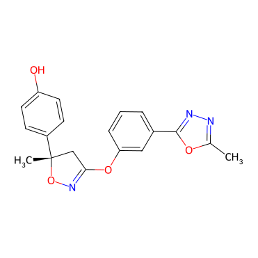 Cc1nnc(-c2cccc(OC3=NO[C@](C)(c4ccc(O)cc4)C3)c2)o1